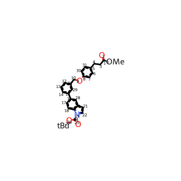 COC(=O)CCc1ccc(OCc2cccc(-c3ccc4c(ccn4C(=O)OC(C)(C)C)c3)c2)cc1